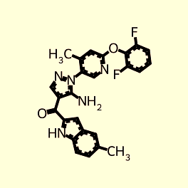 Cc1ccc2[nH]c(C(=O)c3cnn(-c4cnc(Oc5c(F)cccc5F)cc4C)c3N)cc2c1